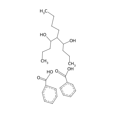 CCCCC(C(O)CCC)C(O)CCC.O=C(O)c1ccccc1.O=C(O)c1ccccc1